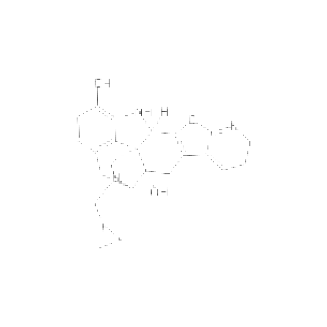 Oc1ccc2c3c1N[C@H]1c4oc5c(c4C[C@@]4(O)C(C2)N(CC2CC2)CC[C@]314)=CCCN=5